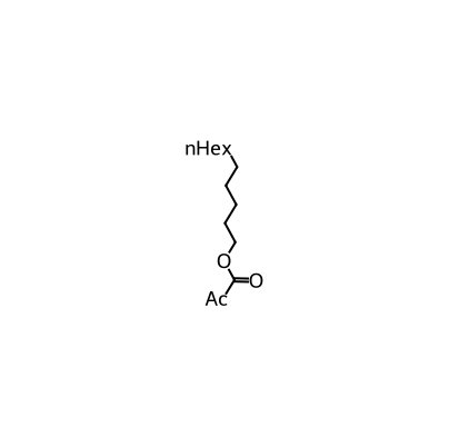 CCCCCCCCCCCOC(=O)C(C)=O